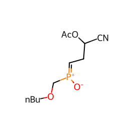 CCCCOC/[P+]([O-])=C/CC(C#N)OC(C)=O